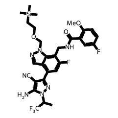 COc1ccc(F)cc1C(=O)NCc1c(F)cc(-c2nn(C(C)C(F)(F)F)c(N)c2C#N)c2cnn(COCC[Si](C)(C)C)c12